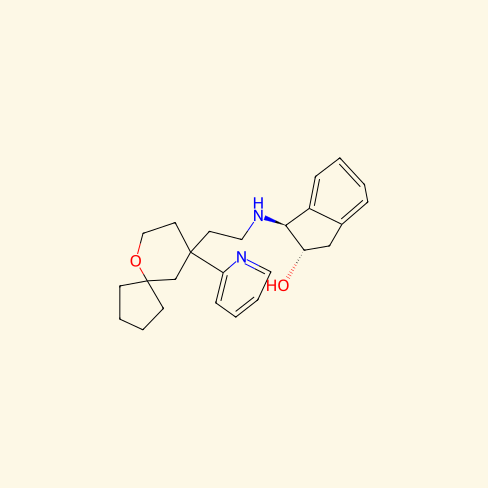 O[C@H]1Cc2ccccc2[C@@H]1NCCC1(c2ccccn2)CCOC2(CCCC2)C1